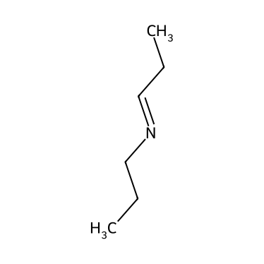 CCC=NCCC